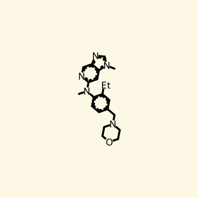 CCc1cc(CN2CCOCC2)ccc1N(C)c1cc2c(cn1)ncn2C